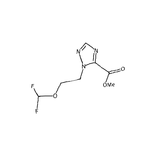 COC(=O)c1ncnn1CCOC(F)F